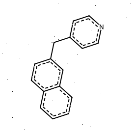 [CH](c1ccncc1)c1ccc2ccccc2c1